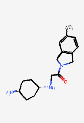 N[C@H]1CC[C@H](NCC(=O)N2Cc3ccc([N+](=O)[O-])cc3C2)CC1